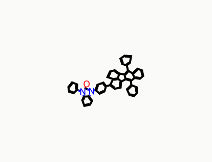 O=c1n(-c2ccccc2)c2ccccc2n1-c1ccc(-c2ccc3c4c(cccc24)-c2c-3c(-c3ccccc3)c3ccccc3c2-c2ccccc2)cc1